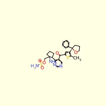 Cc1sc(C(=O)c2cncnc2C2CCCC2(N)COS(N)(=O)=O)cc1[C@@]1(c2ccccc2)CCCO1